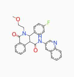 COCCN1C(=O)c2ccccc2C(C(=O)Nc2cnc3ccccc3c2)C1c1ccc(F)cc1